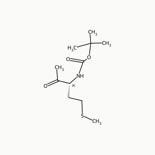 CSCC[C@@H](NC(=O)OC(C)(C)C)C(C)=O